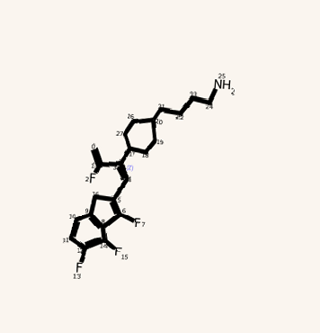 C=C(F)/C(=C\C1=C(F)c2c(ccc(F)c2F)C1)C1CCC(CCCCN)CC1